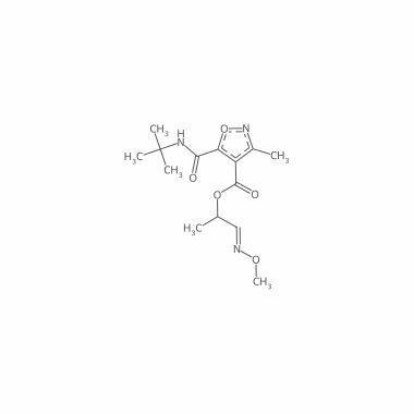 CON=CC(C)OC(=O)c1c(C)noc1C(=O)NC(C)(C)C